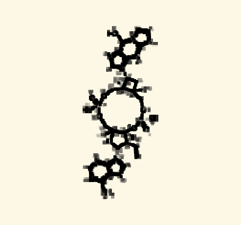 C=C[C@@H]1[C@@H]2O[P@@](=O)(S)OC[C@H]3C[C@@H](n4cnc5c(O)n6ccnc6nc54)[C@@H]3CO[P@](=O)(S)OC[C@H]2O[C@H]1n1cnc2c(N)ncnc21